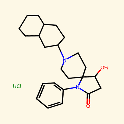 Cl.O=C1CC(O)C2(CCN(C3CCC4CCCCC4C3)CC2)N1c1ccccc1